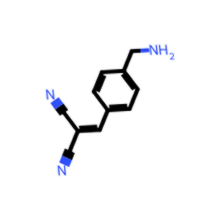 N#CC(C#N)=Cc1ccc(CN)cc1